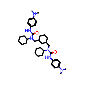 CN(C)c1ccc(NC(=O)N(CC2CCCC(CN(C(=O)Nc3ccc(N(C)C)cc3)C3CCCCC3)C2)C2CCCCC2)cc1